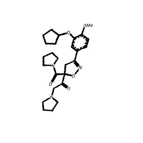 COc1ccc(C2=NOC(C(=O)CN3CCCC3)(C(=O)N3CCCC3)C2)cc1OC1CCCC1